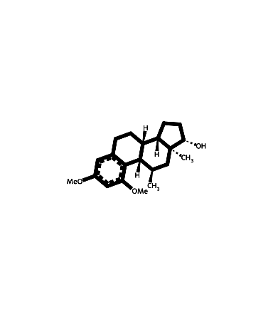 COc1cc2c(c(OC)c1)[C@@H]1[C@H](CC2)[C@@H]2CC[C@H](O)[C@@]2(C)C[C@H]1C